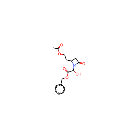 CC(=O)OCCC1CC(=O)N1C(O)C(=O)OCc1ccccc1